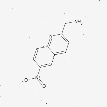 NCc1ccc2cc([N+](=O)[O-])ccc2n1